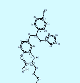 CSCC[C@H](Nc1cccc(CC(Cn2ccnc2)c2ccc(F)cc2)c1)C(=O)O